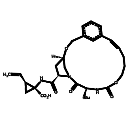 C=C[C@@H]1C[C@]1(NC(=O)[C@@H]1C[C@@H]2CN1C(=O)[C@H](CCCC)NC(=O)OCCCC=Cc1cccc(c1)CO2)C(=O)O